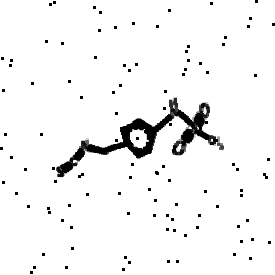 CS(=O)(=O)Nc1ccc(CN=C=S)cc1